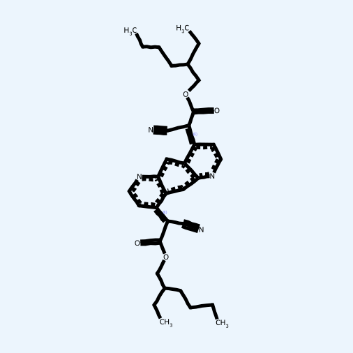 CCCCC(CC)COC(=O)/C(C#N)=c1\ccnc2cc3/c(=C(\C#N)C(=O)OCC(CC)CCCC)ccnc3cc12